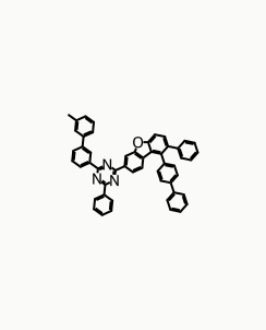 Cc1cccc(-c2cccc(-c3nc(-c4ccccc4)nc(-c4ccc5c(c4)oc4ccc(-c6ccccc6)c(-c6ccc(-c7ccccc7)cc6)c45)n3)c2)c1